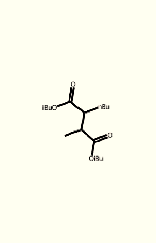 CCCCC(C(=O)OCC(C)C)C(C)C(=O)OCC(C)C